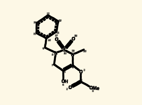 COC(=O)OC1=C(O)CN(Cc2ccccc2)S(=O)(=O)N1C